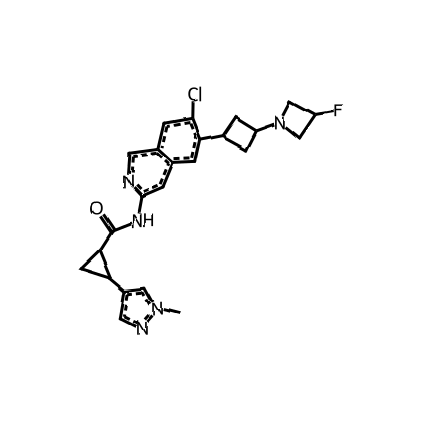 Cn1cc(C2CC2C(=O)Nc2cc3cc(C4CC(N5CC(F)C5)C4)c(Cl)cc3cn2)cn1